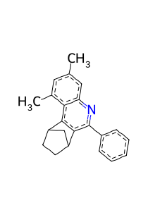 Cc1cc(C)c2c3c(c(-c4ccccc4)nc2c1)C1CCC3C1